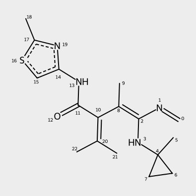 C=N/C(NC1(C)CC1)=C(\C)C(C(=O)Nc1csc(C)n1)=C(C)C